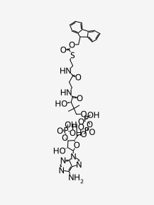 CC(C)(COP(=O)(O)OP(=O)(O)OC[C@H]1O[C@@H](n2cnc3c(N)ncnc32)[C@H](O)[C@@H]1OP(=O)(O)O)[C@@H](O)C(=O)NCCC(=O)NCCSC(=O)OCC1c2ccccc2-c2ccccc21